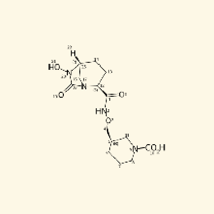 O=C(NOC[C@@H]1CCCN(C(=O)O)C1)[C@@H]1CC[C@@H]2CN1C(=O)N2O